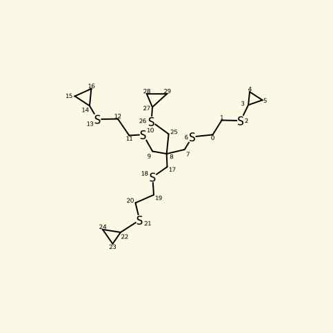 C(CSC1CC1)SCC(CSCCSC1CC1)(CSCCSC1CC1)CSC1CC1